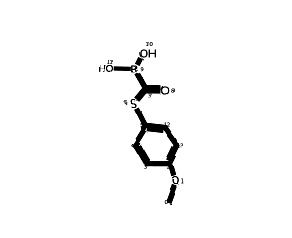 COc1ccc(SC(=O)B(O)O)cc1